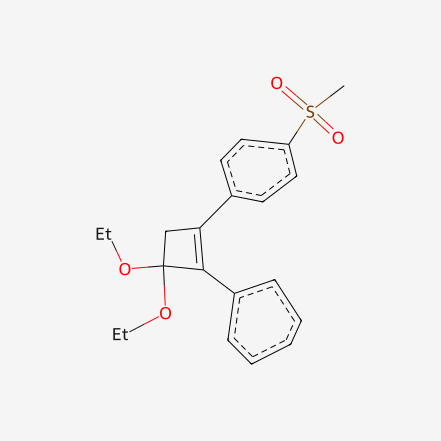 CCOC1(OCC)CC(c2ccc(S(C)(=O)=O)cc2)=C1c1ccccc1